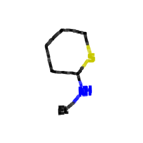 CCNC1CCCCS1